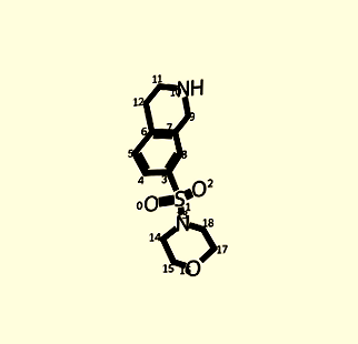 O=S(=O)(c1ccc2c(c1)CNCC2)N1CCOCC1